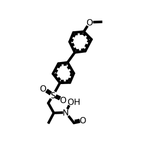 COc1ccc(-c2ccc(S(=O)(=O)CC(C)N(O)C=O)cc2)cc1